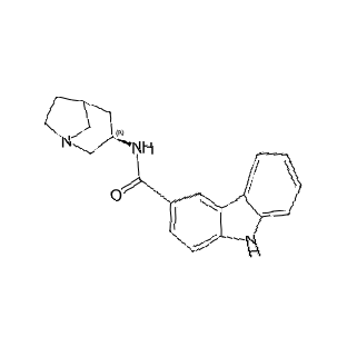 O=C(N[C@@H]1CC2CCN(C2)C1)c1ccc2[nH]c3ccccc3c2c1